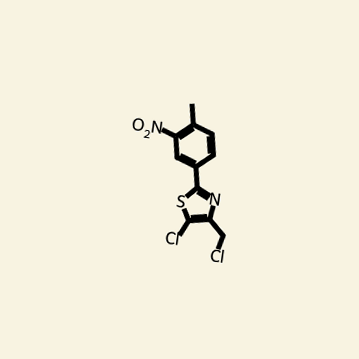 Cc1ccc(-c2nc(CCl)c(Cl)s2)cc1[N+](=O)[O-]